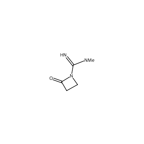 CNC(=N)N1CCC1=O